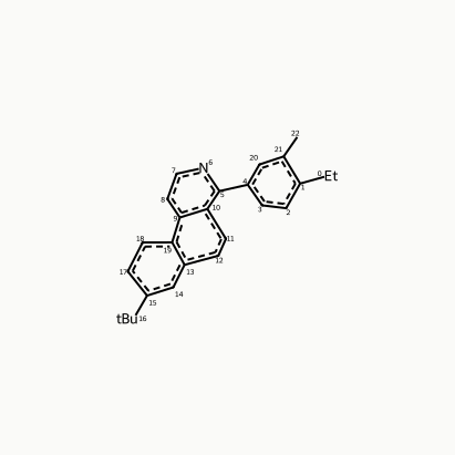 CCc1ccc(-c2nccc3c2ccc2cc(C(C)(C)C)ccc23)cc1C